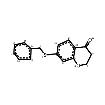 O=C1CCOc2cc(SCc3ccccc3)ccc21